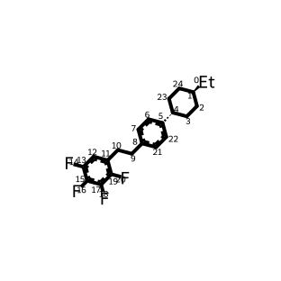 CC[C@H]1CC[C@H](c2ccc(CCc3cc(F)c(F)c(F)c3F)cc2)CC1